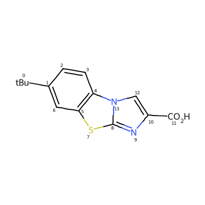 CC(C)(C)c1ccc2c(c1)sc1nc(C(=O)O)cn12